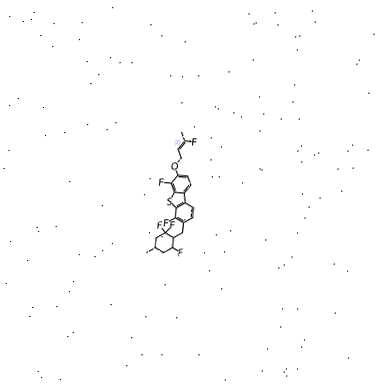 C/C(F)=C/COc1ccc2c(sc3c(F)c(CC4C(F)CC(C)CC4(F)F)ccc32)c1F